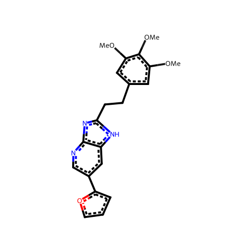 COc1cc(CCc2nc3ncc(-c4ccco4)cc3[nH]2)cc(OC)c1OC